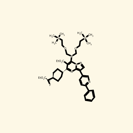 CCOC(=O)c1c(N(COCC[Si](C)(C)C)COCC[Si](C)(C)C)n2ncc(-c3ccc(-c4ccccc4)nc3)c2nc1[C@H]1CC[C@H]([C@H](F)C(=O)OCC)CC1